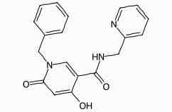 O=C(NCc1ccccn1)c1cn(Cc2ccccc2)c(=O)cc1O